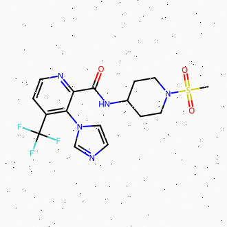 CS(=O)(=O)N1CCC(NC(=O)c2nccc(C(F)(F)F)c2-n2ccnc2)CC1